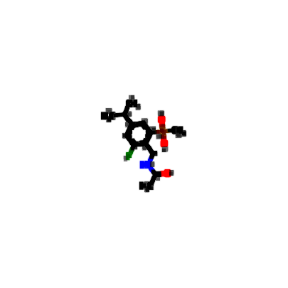 CC(=O)NCc1c(F)cc(C(C)C)cc1S(C)(=O)=O